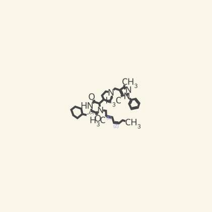 CC/C=C\C=C(/C)CN1C(=O)[C@H](CC2CCCCC2)NC(=O)C1C1CCN(Cc2c(C)nn(-c3ccccc3)c2C)CC1